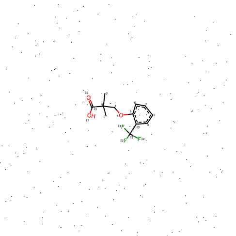 CC(C)(COc1ccccc1C(F)(F)F)C(=O)O